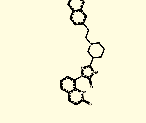 O=c1ccc2cccc(-n3nc(C4CCCN(CCc5ccc6ccccc6c5)C4)[nH]c3=O)c2[nH]1